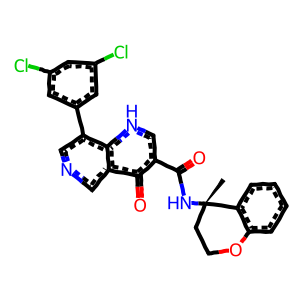 C[C@]1(NC(=O)c2c[nH]c3c(-c4cc(Cl)cc(Cl)c4)cncc3c2=O)CCOc2ccccc21